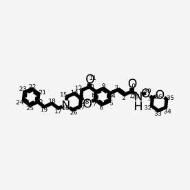 O=C(C=Cc1ccc2c(c1)C(=O)CC1(CCN(CCCc3ccccc3)CC1)O2)NOC1CCCCO1